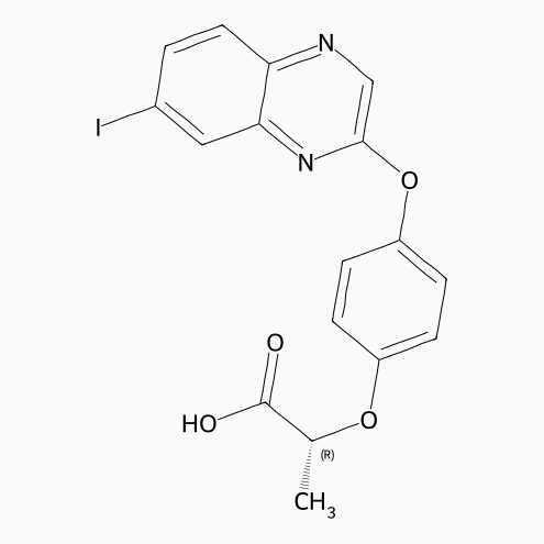 C[C@@H](Oc1ccc(Oc2cnc3ccc(I)cc3n2)cc1)C(=O)O